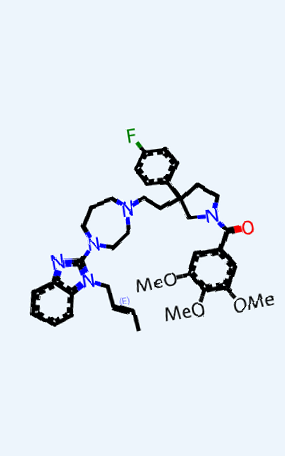 C/C=C/Cn1c(N2CCCN(CCC3(c4ccc(F)cc4)CCN(C(=O)c4cc(OC)c(OC)c(OC)c4)C3)CC2)nc2ccccc21